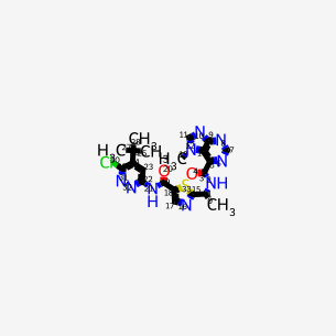 CC(NC(=O)c1ncnc2ncn(C)c12)c1ncc(C(=O)Nc2cc(C(C)(C)C)c(Cl)nn2)s1